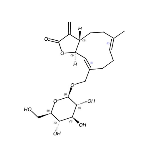 C=C1C(=O)O[C@@H]2/C=C(\CO[C@@H]3O[C@H](CO)[C@@H](O)[C@H](O)[C@H]3O)CC/C=C(\C)CC[C@@H]12